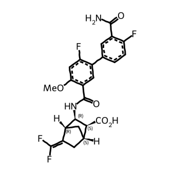 COc1cc(F)c(-c2ccc(F)c(C(N)=O)c2)cc1C(=O)N[C@H]1[C@@H](C(=O)O)[C@@H]2CC(=C(F)F)[C@H]1C2